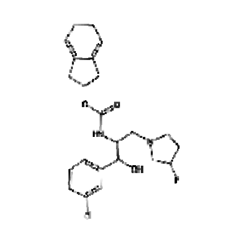 O=C(NC(CN1CCC(F)C1)C(O)c1cccc(Cl)c1)OC1Cc2ccccc2C1